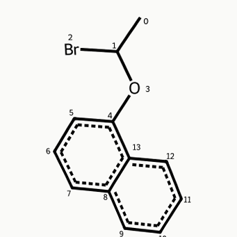 CC(Br)Oc1cccc2ccccc12